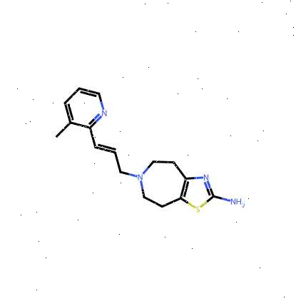 Cc1cccnc1C=CCN1CCc2nc(N)sc2CC1